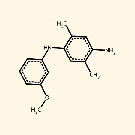 COc1cccc(Nc2cc(C)c(N)cc2C)c1